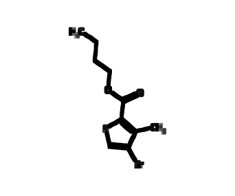 CCCCOC(=O)c1scc(Br)c1C